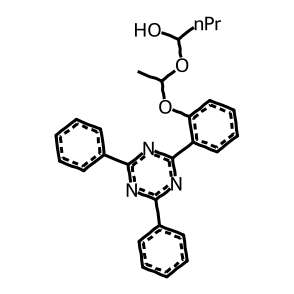 CCCC(O)OC(C)Oc1ccccc1-c1nc(-c2ccccc2)nc(-c2ccccc2)n1